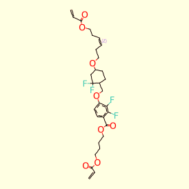 C=CC(=O)OCC/C=C\CCOC1CCC(COc2ccc(C(=O)OCCCCOC(=O)C=C)c(F)c2F)C(F)(F)C1